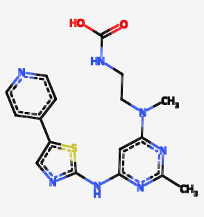 Cc1nc(Nc2ncc(-c3ccncc3)s2)cc(N(C)CCNC(=O)O)n1